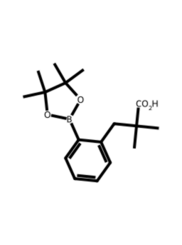 CC(C)(Cc1ccccc1B1OC(C)(C)C(C)(C)O1)C(=O)O